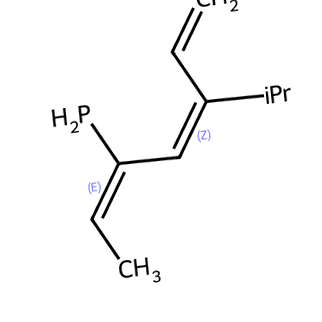 C=C/C(=C\C(P)=C/C)C(C)C